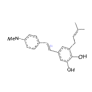 CNc1ccc(/C=C/c2cc(O)c(O)c(CC=C(C)C)c2)cc1